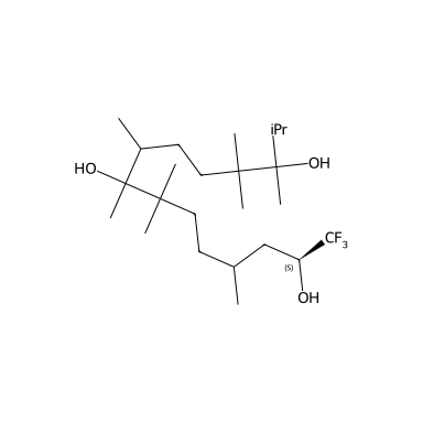 CC(CCC(C)(C)C(C)(O)C(C)CCC(C)(C)C(C)(O)C(C)C)C[C@H](O)C(F)(F)F